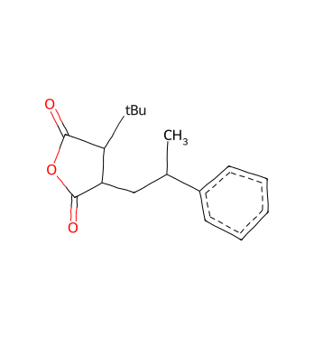 CC(CC1C(=O)OC(=O)C1C(C)(C)C)c1ccccc1